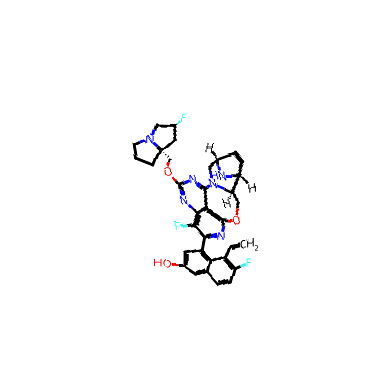 C=Cc1c(F)ccc2cc(O)cc(-c3nc4c5c(nc(OC[C@]67CCCN6C[C@@H](F)C7)nc5c3F)N3C[C@@H]5CC[C@@H](N5)[C@H]3CO4)c12